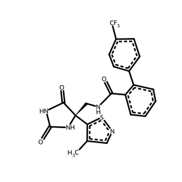 Cc1cnsc1[C@]1(CNC(=O)c2ccccc2-c2ccc(C(F)(F)F)cc2)NC(=O)NC1=O